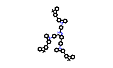 CC1(C)c2ccccc2-c2cc(-c3ccc4c(c3)c3ccccc3n4-c3ccc(-c4ccc5nc(-c6ccc(-n7c8ccccc8c8cc(-c9ccc%10c(c9)-c9ccccc9C%10(C)C)ccc87)cc6)nc(-c6ccc(-n7c8ccccc8c8cc(-c9ccc%10c(c9)-c9ccccc9C%10(C)C)ccc87)cc6)c5c4)cc3)ccc21